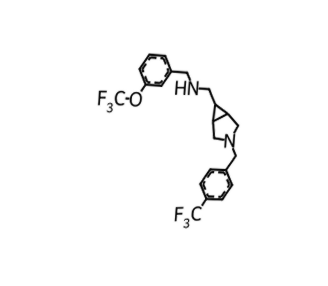 FC(F)(F)Oc1cccc(CNCC2C3CN(Cc4ccc(C(F)(F)F)cc4)CC23)c1